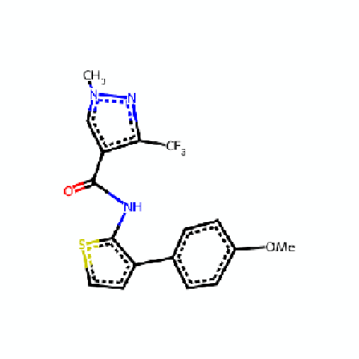 COc1ccc(-c2ccsc2NC(=O)c2cn(C)nc2C(F)(F)F)cc1